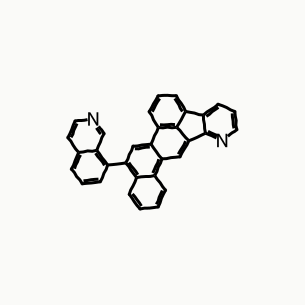 c1cnc2c(c1)-c1cccc3c1c-2cc1c2ccccc2c(-c2cccc4ccncc24)cc31